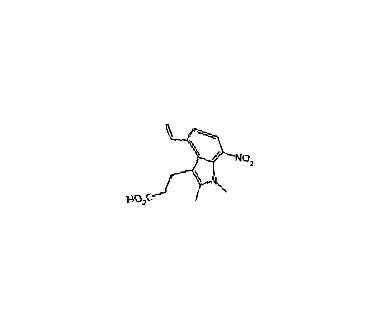 C=Cc1ccc([N+](=O)[O-])c2c1c(CCC(=O)O)c(C)n2C